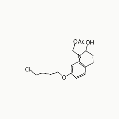 CC(=O)OCN1c2cc(OCCCCCl)ccc2CCC1O